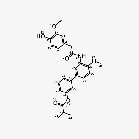 COc1cc(CC(=O)Nc2cc(-c3cccc(OC(=O)C(C)C)c3)ccc2OC)ccc1O